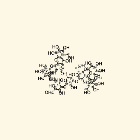 CC(=O)N[C@H]1[C@H](OC2[C@@H](O)C(CO[C@@H]3O[C@H](CO)[C@@H](O[C@@H]4O[C@H](CO)[C@H](O)[C@H](O)[C@H]4O)[C@H](O[C@@H]4O[C@@H](C)[C@@H](O)[C@@H](O)[C@@H]4O)[C@H]3NC(C)=O)O[C@@H](O[C@@H]([C@H](O)[C@@H](O)C=O)[C@H](O)CO)[C@@H]2O)O[C@H](CO)[C@@H](O[C@@H]2O[C@@H](C)[C@@H](O)[C@@H](O)[C@@H]2O)[C@@H]1O[C@@H]1O[C@H](CO)[C@H](O)[C@H](O)[C@H]1O